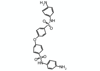 Nc1ccc(NS(=O)(=O)c2ccc(Oc3ccc(S(=O)(=O)Nc4ccc(N)cc4)cc3)cc2)cc1